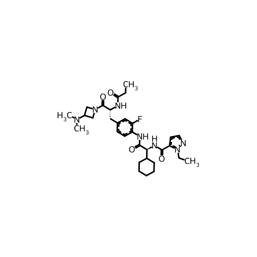 CCC(=O)N[C@H](Cc1ccc(NC(=O)[C@@H](NC(=O)c2ccnn2CC)C2CCCCC2)c(F)c1)C(=O)N1CC(N(C)C)C1